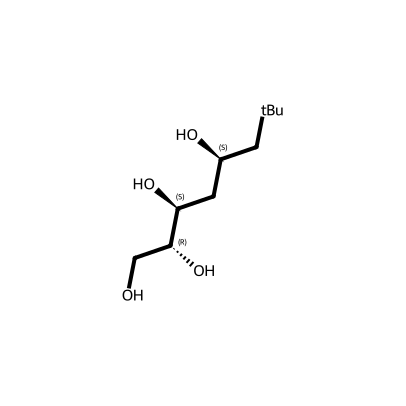 CC(C)(C)C[C@H](O)C[C@H](O)[C@H](O)CO